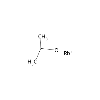 CC(C)[O-].[Rb+]